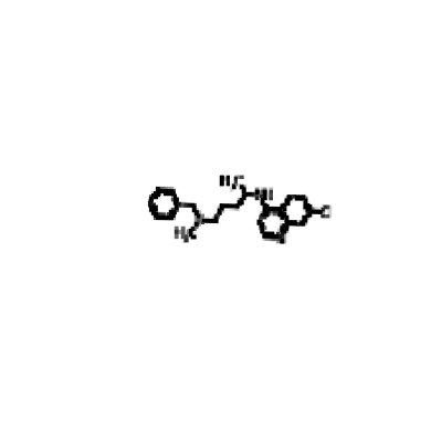 CC(CCCN(C)Cc1ccccc1)Nc1ccnc2cc(Cl)ccc12